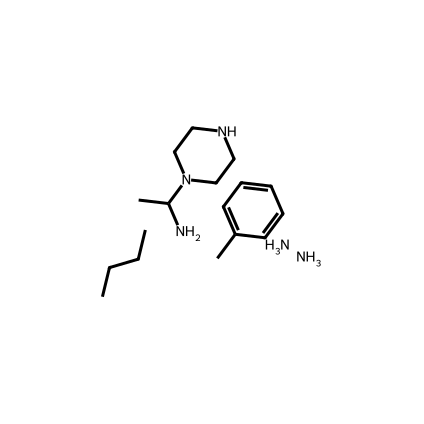 CC(N)N1CCNCC1.CCCC.Cc1ccccc1.N.N